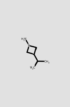 CC(C)C1CN(N)C1